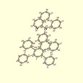 c1ccc(-c2cc(-c3ccccc3)c3c4ccccc4c4cc(N(c5ccccc5)c5nccc6ccccc56)ccc4c3c2-c2ccccc2)cc1